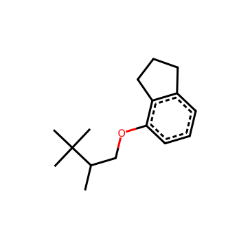 CC(COc1cccc2c1CCC2)C(C)(C)C